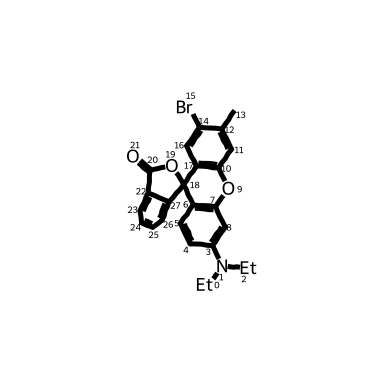 CCN(CC)c1ccc2c(c1)Oc1cc(C)c(Br)cc1C21OC(=O)c2ccccc21